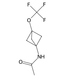 CC(=O)NC12CC(OC(F)(F)F)(C1)C2